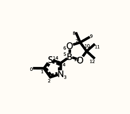 Cc1cnc(B2OC(C)(C)C(C)(C)O2)s1